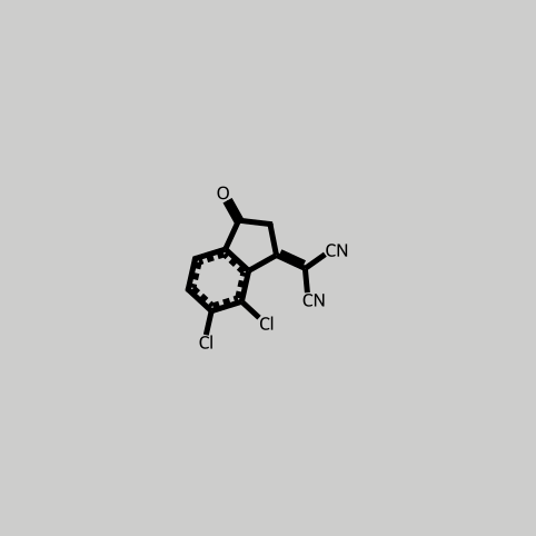 N#CC(C#N)=C1CC(=O)c2ccc(Cl)c(Cl)c21